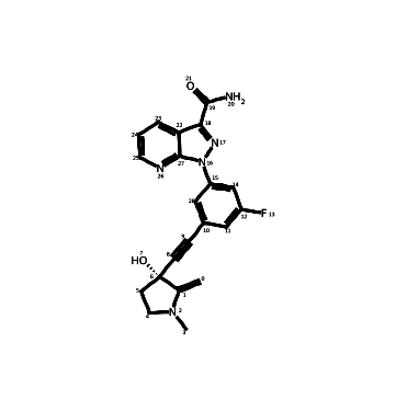 C=C1N(C)CC[C@@]1(O)C#Cc1cc(F)cc(-n2nc(C(N)=O)c3cccnc32)c1